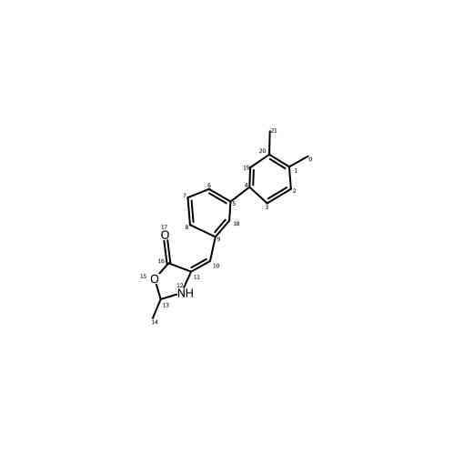 Cc1ccc(-c2cccc(C=C3NC(C)OC3=O)c2)cc1C